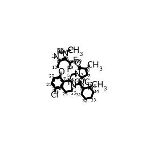 C[C@H]1CCN(C[C@@H]2c3c(OCc4nnn(C)c4C(F)F)ccc(Cl)c3CCN2C(=O)C2CCCC[C@@]2(C)C(=O)O)C1=O